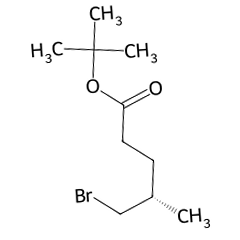 C[C@H](CBr)CCC(=O)OC(C)(C)C